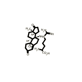 C[C@]12CCC(=O)C=C1CC[C@@H]1[C@@H]2CC[C@]2(C)C(=O)CC[C@@H]12.N=C(N)NCCCC(N)C(=O)O